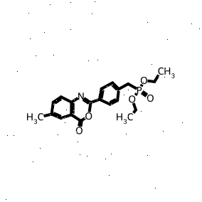 CCOP(=O)(Cc1ccc(-c2nc3ccc(C)cc3c(=O)o2)cc1)OCC